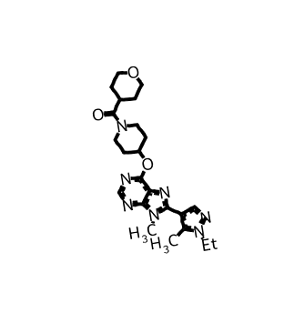 CCn1ncc(-c2nc3c(OC4CCN(C(=O)C5CCOCC5)CC4)ncnc3n2C)c1C